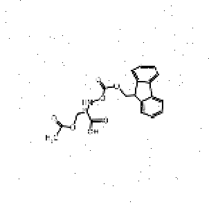 CC(=O)OC[C@@H](NOC(=O)OCC1c2ccccc2-c2ccccc21)C(=O)O